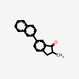 CC1Cc2ccc(-c3ccc4ccccc4c3)cc2C1=O